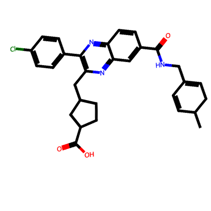 CC1C=CC(CNC(=O)c2ccc3nc(-c4ccc(Cl)cc4)c(CC4CCC(C(=O)O)C4)nc3c2)=CC1